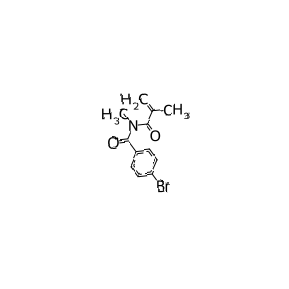 C=C(C)C(=O)N(C)C(=O)c1ccc(Br)cc1